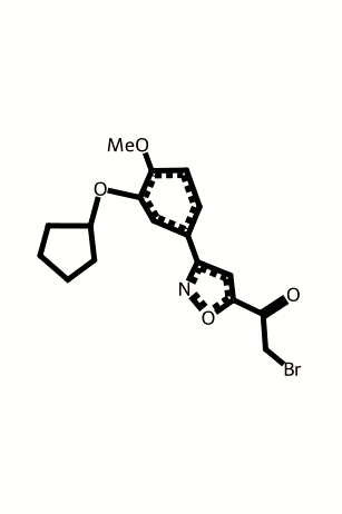 COc1ccc(-c2cc(C(=O)CBr)on2)cc1OC1CCCC1